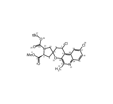 COC(=O)[C@@H]1CC2(CC(Cl)c3c(c(C)nc4ccc(Cl)cc34)O2)CN1C(=O)OC(C)(C)C